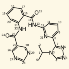 CC(C)n1cnnc1-c1cccc(NC(=O)c2ccccc2NC(=O)c2cncnc2)n1